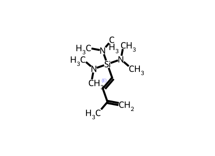 C=C(C)/C=C/[Si](N(C)C)(N(C)C)N(C)C